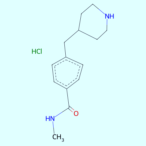 CNC(=O)c1ccc(CC2CCNCC2)cc1.Cl